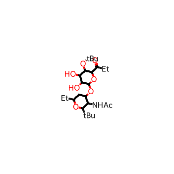 CCC(=O)C1OC(OC2CC(CC)OC(C(C)(C)C)C2NC(C)=O)C(O)C(O)C1OC(C)(C)C